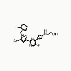 CC(=O)c1cc(-c2ncc(F)c(N3CC(NCCO)C3)n2)nn1Cc1ccccc1F